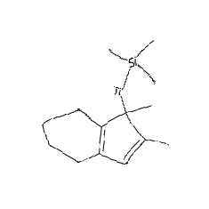 CC1=CC2=C(CCCC2)[C]1(C)[Ti][Si](C)(C)C